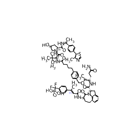 C/C(=C\C(=O)N[C@H]1CCc2cccc3c2N(C1=O)[C@H](C(=O)N[C@@H](CCC(N)=O)[C@@H](C)OCc1ccc(CCCCC(=O)N[C@H](C(=O)N2C[C@H](O)C[C@H]2C(=O)N[C@@H](C)c2ccc(-c4scnc4C)cc2)C(C)(C)C)cc1)C3)c1ccc(C(F)(F)P(=O)(O)O)cc1